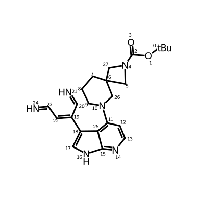 CC(C)(C)OC(=O)N1CC2(CCCN(c3ccnc4[nH]cc(/C(C=N)=C/C=N)c34)C2)C1